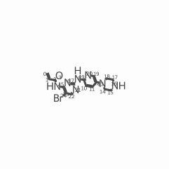 C=CC(=O)Nc1nc(Nc2ccc(N3CCNCC3)cn2)ncc1Br